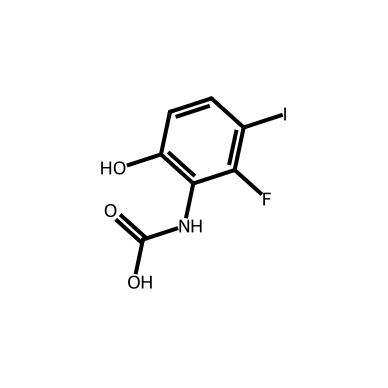 O=C(O)Nc1c(O)ccc(I)c1F